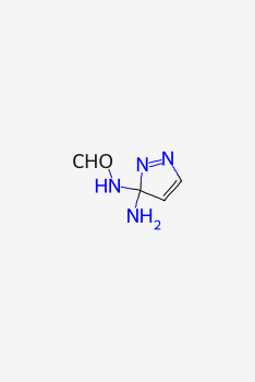 NC1(NC=O)C=CN=N1